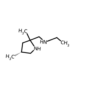 CCNCC1(C)C[C@@H](C)CN1